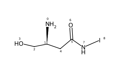 N[C@H](CO)CC(=O)NI